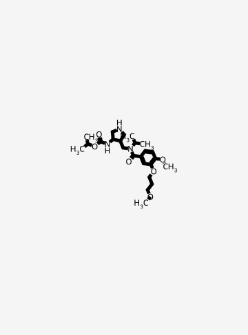 COCCCOc1cc(C(=O)N(CC2CNCC2NC(=O)OC(C)C)C(C)C)ccc1OC